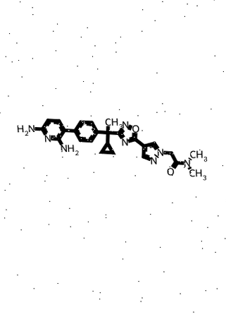 CN(C)C(=O)Cn1cc(-c2nc(C(C)(c3ccc(-c4ccc(N)nc4N)cc3)C3CC3)no2)cn1